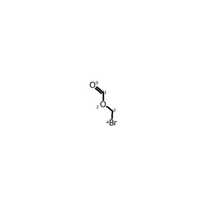 O=[C]OCBr